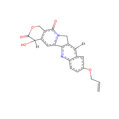 C=CCOc1ccc2nc3c(c(CC)c2c1)Cn1c-3cc2c(c1=O)COC(=O)C2(O)CC